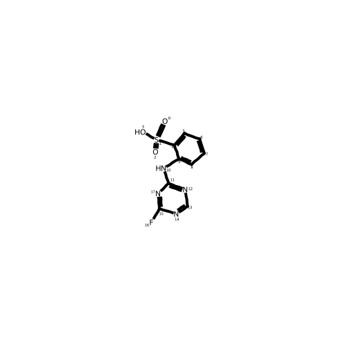 O=S(=O)(O)c1ccccc1Nc1ncnc(F)n1